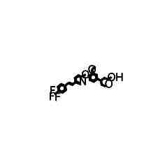 CCC(CC(=O)O)c1ccc(Oc2ccc(/C=C/c3ccc(C(F)(F)F)cc3)cn2)c(OC)c1